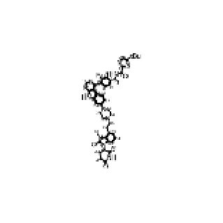 Cc1c(C(C)NC(=O)c2noc(C(C)(C)C)n2)ccc(-c2ncnc3[nH]c4cc(N5CCN(CCc6cccc7c6n(C)c(=O)n7C6CCC(=O)NC6=O)CC5)ccc4c23)c1F